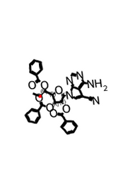 CC[C@@H](OC(=O)c1ccccc1)[C@H]1O[C@H](n2cc(C#N)c3c(N)ncnc32)[C@H](OC(=O)c2ccccc2)[C@@H]1OC(=O)c1ccccc1